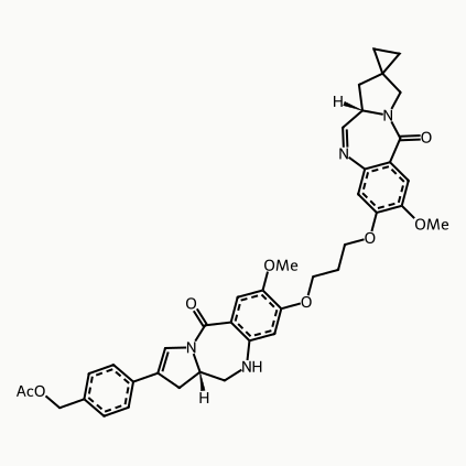 COc1cc2c(cc1OCCCOc1cc3c(cc1OC)C(=O)N1C=C(c4ccc(COC(C)=O)cc4)C[C@H]1CN3)N=C[C@@H]1CC3(CC3)CN1C2=O